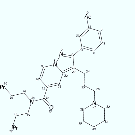 CC(=O)c1cccc(-c2nn3ccc(C(=O)N(CCC(C)C)CCC(C)C)cc3c2CCCN2CCCCC2)c1